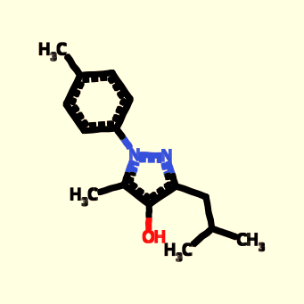 Cc1ccc(-n2nc(CC(C)C)c(O)c2C)cc1